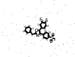 CS(=O)(=O)c1ccc(-c2nc(Cc3ccccc3)oc2-c2ccc(F)c(F)c2)cc1